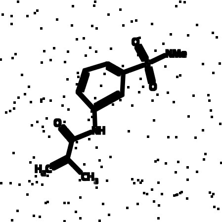 C=C(C)C(=O)Nc1cccc(S(=O)(=O)NC)c1